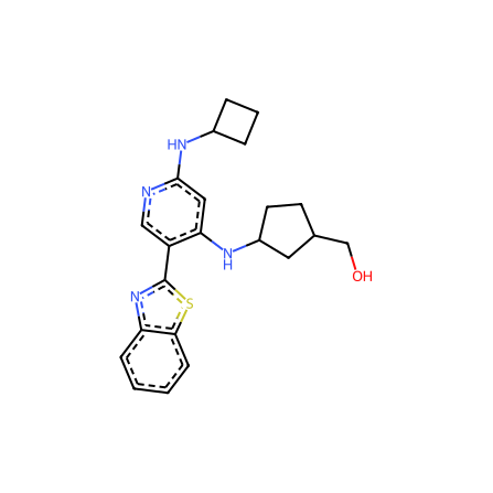 OCC1CCC(Nc2cc(NC3CCC3)ncc2-c2nc3ccccc3s2)C1